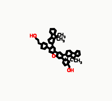 CC1(C)c2ccccc2-c2ccc(-c3cc4c(cc3-c3ccc(CO)cc3)oc3cc(-c5ccc(CCCO)cc5)c(-c5ccc6c(c5)C(C)(C)c5ccccc5-6)cc34)cc21